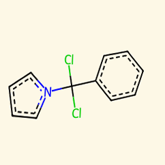 ClC(Cl)(c1ccccc1)n1cccc1